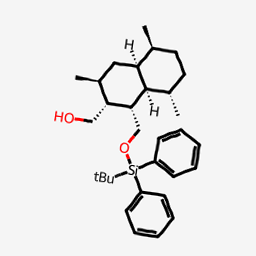 C[C@H]1CC[C@H](C)[C@H]2[C@H](CO[Si](c3ccccc3)(c3ccccc3)C(C)(C)C)[C@H](CO)[C@@H](C)C[C@H]21